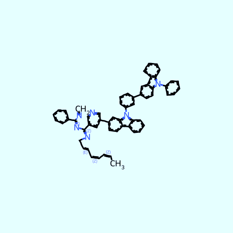 C=N/C(=N\C(=N/C/C=C/C=C\C=C/C)c1cncc(-c2ccc3c4ccccc4n(-c4cccc(-c5ccc6c(c5)c5ccccc5n6-c5ccccc5)c4)c3c2)c1)c1ccccc1